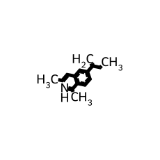 C=C(CC)c1ccc(C(C)=N)c(/C=C/C)c1